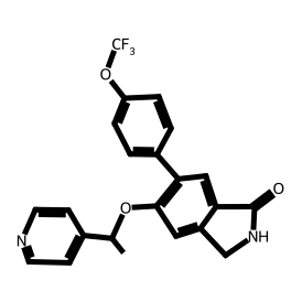 CC(Oc1cc2c(cc1-c1ccc(OC(F)(F)F)cc1)C(=O)NC2)c1ccncc1